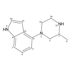 CC1CN(c2cccc3[nH]ccc23)CCN1